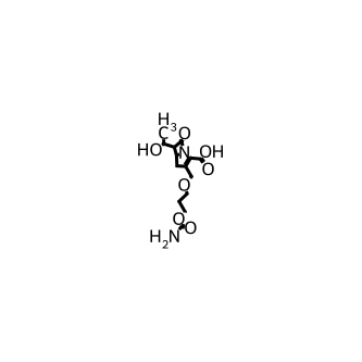 CC(O)C1C(=O)N2C(C(=O)O)=C(COCCCOC(N)=O)CC12